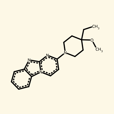 CCC1(OC)CCN(c2ccn3c(n2)nc2ccccc23)CC1